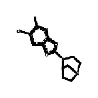 Cc1nc2nc(N3CC[N@@]4CCC3C4)oc2cc1Cl